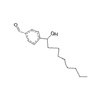 CCCCCCCCC(O)c1ccc(C=O)cc1